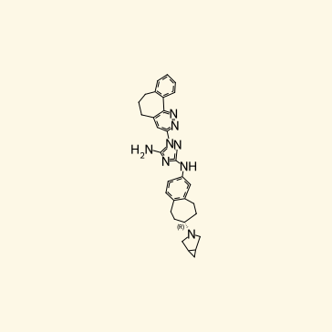 Nc1nc(Nc2ccc3c(c2)CC[C@H](N2CC4CC4C2)CC3)nn1-c1cc2c(nn1)-c1ccccc1CCC2